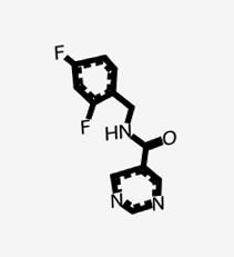 O=C(NCc1ccc(F)cc1F)c1cncnc1